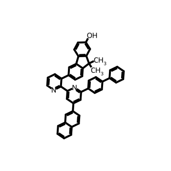 CC1(C)c2ccc(-c3cccnc3-c3cc(-c4ccc5ccccc5c4)cc(-c4ccc(-c5ccccc5)cc4)n3)cc2-c2ccc(O)cc21